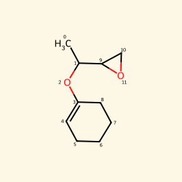 CC(OC1=CCCCC1)C1CO1